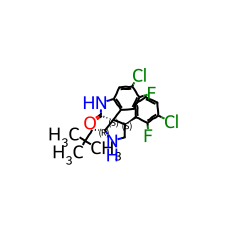 CC(C)(C)C[C@H]1NC[C@H](c2cccc(Cl)c2F)[C@@]12C(=O)Nc1cc(Cl)c(F)cc12